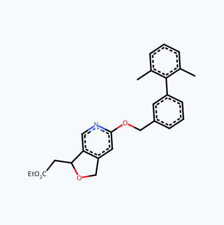 CCOC(=O)CC1OCc2cc(OCc3cccc(-c4c(C)cccc4C)c3)ncc21